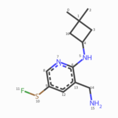 CC1(C)CC(Nc2ncc(SF)cc2CN)C1